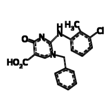 Cc1c(Cl)cccc1Nc1nc(=O)c(C(=O)O)cn1Cc1ccccc1